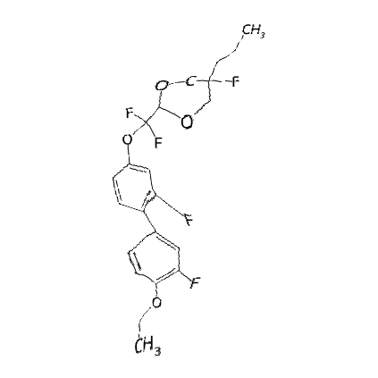 CCCC1(F)COC(C(F)(F)Oc2ccc(-c3ccc(OCC)c(F)c3)c(F)c2)OC1